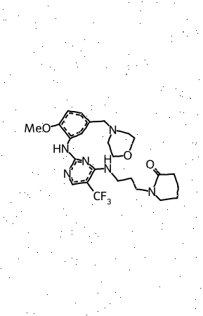 COc1ccc(CN2CCOCC2)cc1Nc1ncc(C(F)(F)F)c(NCCCN2CCCCC2=O)n1